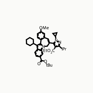 CCOC(=O)c1c(C(C)C)nn(C2CC2)c1C1=Cc2cc(OC)ccc2-c2c(C3CCCCC3)c3ccc(C(=O)OC(C)(C)C)cc3n2C1